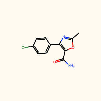 Cc1nc(-c2ccc(Cl)cc2)c(C(N)=O)o1